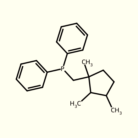 CC1CCC(C)(CP(c2ccccc2)c2ccccc2)C1C